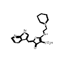 O=C(O)C1=C(NCCN2CCCCC2)OC(=Cc2c[nH]c3ncccc23)C1=O